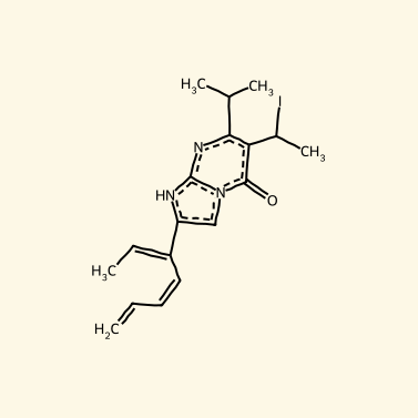 C=C/C=C\C(=C/C)c1cn2c(=O)c(C(C)I)c(C(C)C)nc2[nH]1